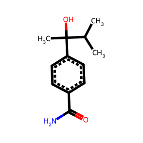 CC(C)C(C)(O)c1ccc(C(N)=O)cc1